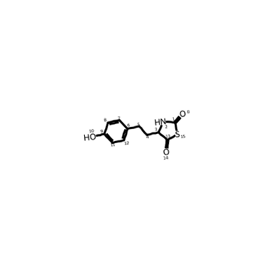 O=C1NC(CCc2ccc(O)cc2)C(=O)S1